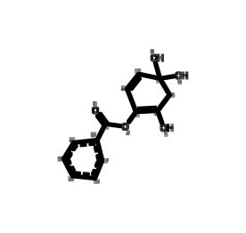 O=C(OC1=C(O)CC(O)(O)C=C1)c1ccccc1